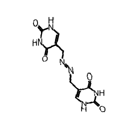 O=c1[nH]cc(CN=NCc2c[nH]c(=O)[nH]c2=O)c(=O)[nH]1